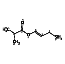 CC(C)C(=O)OC=CC[SiH3]